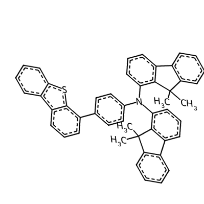 CC1(C)c2ccccc2-c2cccc(N(c3ccc(-c4cccc5c4sc4ccccc45)cc3)c3cccc4c3C(C)(C)c3ccccc3-4)c21